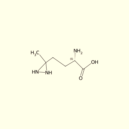 CC1(CC[C@H](N)C(=O)O)NN1